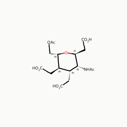 CC(=O)N[C@@H]1[C@H](CC(=O)O)[C@@H](CC(=O)O)[C@H](COC(C)=O)O[C@H]1CC(=O)O